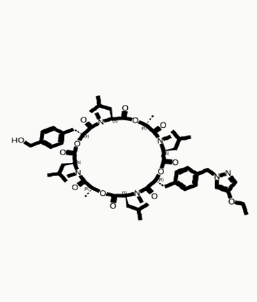 CCOc1cnn(Cc2ccc(C[C@H]3OC(=O)[C@H](CC(C)C)N(C)C(=O)[C@@H](C)OC(=O)[C@H](CC(C)C)N(C)C(=O)[C@@H](Cc4ccc(CO)cc4)OC(=O)[C@H](CC(C)C)N(C)C(=O)[C@@H](C)OC(=O)[C@H](CC(C)C)N(C)C3=O)cc2)c1